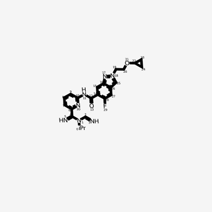 CC(C)N(C=N)C(=N)c1cccc(NC(=O)c2cc3nn(CCOC4CC4)cc3cc2F)n1